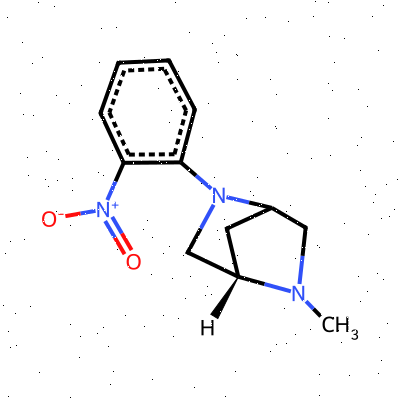 CN1CC2C[C@H]1CN2c1ccccc1[N+](=O)[O-]